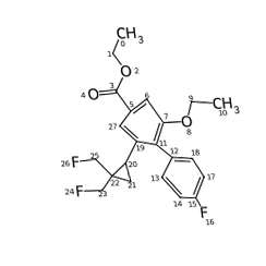 CCOC(=O)c1cc(OCC)c(-c2ccc(F)cc2)c(C2CC2(CF)CF)c1